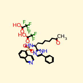 CC(=O)CCCCC[C@H](NS(=O)(=O)c1cccc2cnccc12)c1ncc(-c2ccccc2)[nH]1.O=C(O)C(F)(F)F.O=C(O)C(F)(F)F